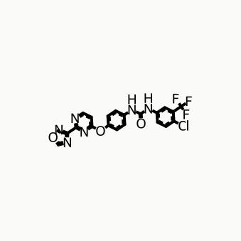 O=C(Nc1ccc(Oc2ccnc(-c3ncon3)n2)cc1)Nc1ccc(Cl)c(C(F)(F)F)c1